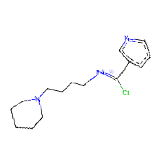 Cl/C(=N\CCCCN1CCCCC1)c1cccnc1